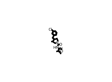 Cc1onc(NC(=O)N2CC/C(=C\c3cccc(Cl)c3)C(C)C2)c1C